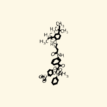 CCC(C)(C)c1ccc(OCCCC(=O)Nc2cccc(C(=O)C(OC)(Oc3ccc([N+](=O)[O-])cc3)C(=O)Nc3ccccc3)c2)c(C(C)(C)CC)c1